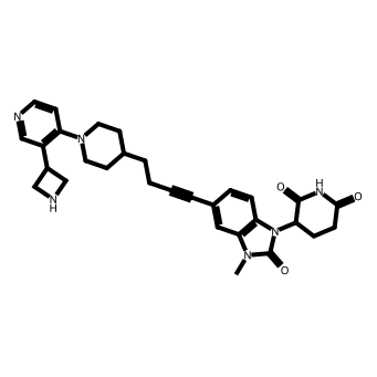 Cn1c(=O)n(C2CCC(=O)NC2=O)c2ccc(C#CCCC3CCN(c4ccncc4C4CNC4)CC3)cc21